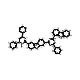 C1=C(c2ccccc2)N=C(c2ccc3sc4cc(-c5nc(-c6ccccc6)nc(-c6cccc7c6oc6ccccc67)n5)ccc4c3c2)NC1c1ccccc1